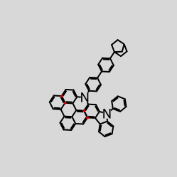 c1ccc(-c2cccc3cccc(-c4ccccc4N(c4ccc(-c5ccc(C67CCC(CC6)C7)cc5)cc4)c4ccc5c6ccccc6n(-c6ccccc6)c5c4)c23)cc1